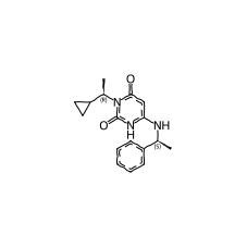 C[C@H](Nc1cc(=O)n([C@H](C)C2CC2)c(=O)[nH]1)c1ccccc1